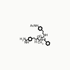 CC(=O)Nc1ccc(CCN[C@H](CCc2ccccc2)C(=O)N[C@@H](C)C(=O)NCc2ccc(C(=N)N)cc2)cc1